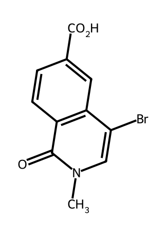 Cn1cc(Br)c2cc(C(=O)O)ccc2c1=O